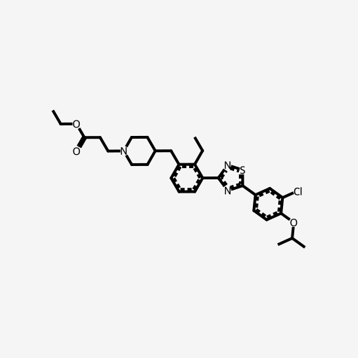 CCOC(=O)CCN1CCC(Cc2cccc(-c3nsc(-c4ccc(OC(C)C)c(Cl)c4)n3)c2CC)CC1